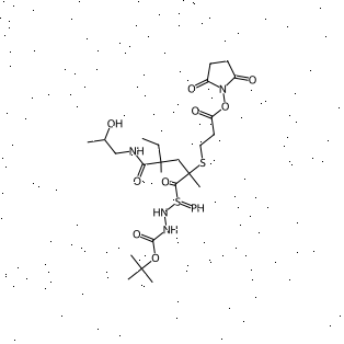 CCC(C)(CC(C)(SCCC(=O)ON1C(=O)CCC1=O)C(=O)S(=P)NNC(=O)OC(C)(C)C)C(=O)NCC(C)O